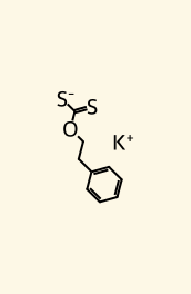 S=C([S-])OCCc1ccccc1.[K+]